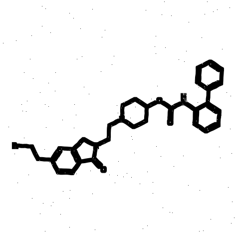 O=C(Nc1ccccc1-c1ccccc1)OC1CCN(CCN2Cc3cc(CCBr)ccc3C2=O)CC1